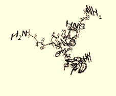 NCCCCCCc1ccc2c(c1)C(=O)N(CCC(=O)O)CC(=O)N2Cc1cccc(NC(=O)CCCN)c1.O=C(O)C(F)(F)F